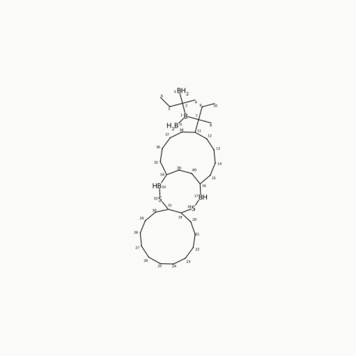 BB(C(B)(C)CC)C(C)(CC)C1CCCCC2BSC3CCCCCCCCCCCC3SBC(CCCC1)CC2